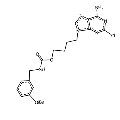 CC(C)COc1cccc(CNC(=O)OCCCCn2cnc3c(N)nc(Cl)nc32)c1